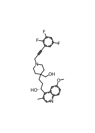 COc1ccc2ncc(C)c([C@H](O)CCC3(CO)CCN(CC#Cc4cc(F)cc(F)c4F)CC3)c2c1